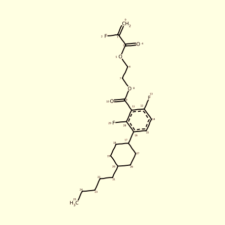 C=C(F)C(=O)OCCOC(=O)c1c(F)ccc(C2CCC(CCCCC)CC2)c1F